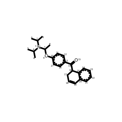 CC(C)N(C(C)C)C(C)Oc1ccc(C(=O)C2CC=Cc3ccccc32)cc1